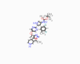 CCC1CNCC[C@@]1(CCOc1cnc([C@@H]2NCC(NC(=O)OC(C)(C)C)[C@@H]2c2cc(C)c(F)cc2F)nc1)c1cnno1